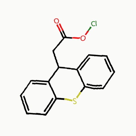 O=C(CC1c2ccccc2Sc2ccccc21)OCl